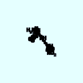 Nc1ncnc2c1nc(Sc1cc3c(cc1I)OCO3)n2CCCNCCCCCCNc1ccc([N+](=O)[O-])c2nonc12